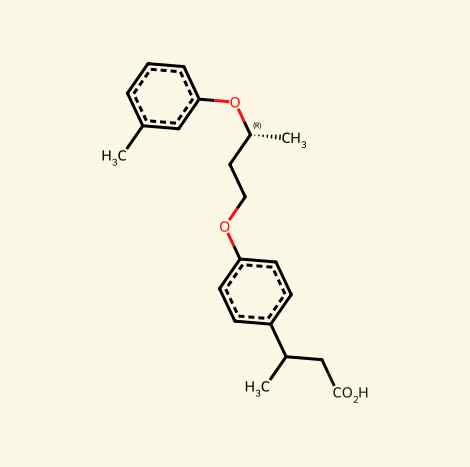 Cc1cccc(O[C@H](C)CCOc2ccc(C(C)CC(=O)O)cc2)c1